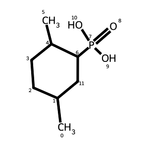 CC1CCC(C)C(P(=O)(O)O)C1